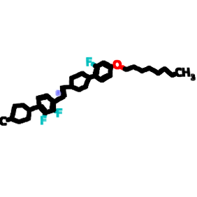 CCCCCCCCOc1ccc(C2CCC(/C=C/c3ccc(C4CCC(C)CC4)c(F)c3F)CC2)c(F)c1